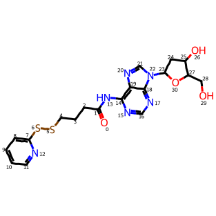 O=C(CCCSSc1ccccn1)Nc1ncnc2c1ncn2C1CC(O)C(CO)O1